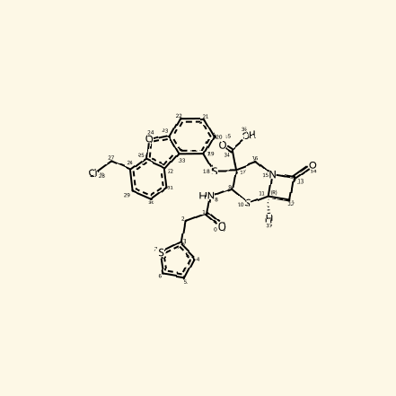 O=C(Cc1cccs1)NC1S[C@@H]2CC(=O)N2CC1(Sc1cccc2oc3c(CCl)cccc3c12)C(=O)O